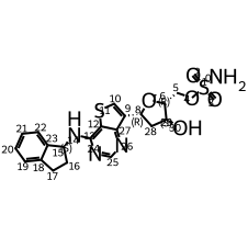 NS(=O)(=O)OC[C@H]1O[C@@H](c2csc3c(N[C@H]4CCc5ccccc54)ncnc23)C[C@@H]1O